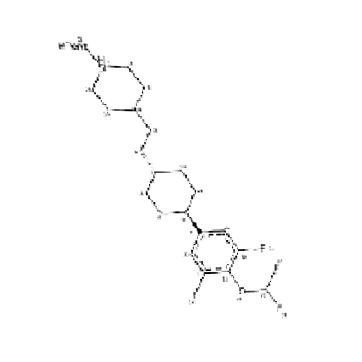 CCCCC[SiH]1CCC(CC[C@H]2CC[C@H](c3cc(F)c(OC(F)F)c(F)c3)CC2)CC1